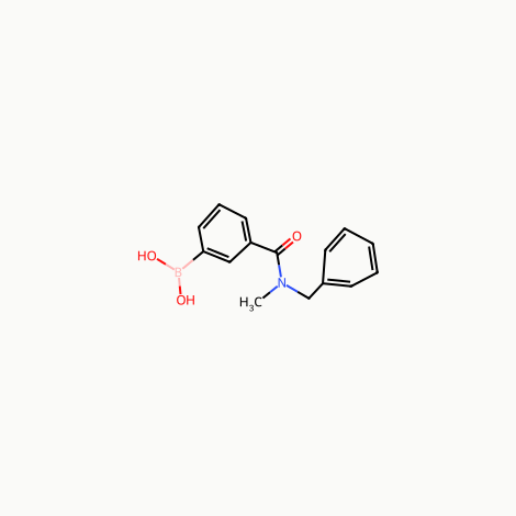 CN(Cc1ccccc1)C(=O)c1cccc(B(O)O)c1